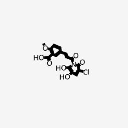 COc1ccc(C=CC(=O)n2c(O)c(O)cc(Cl)c2=O)cc1C(=O)O